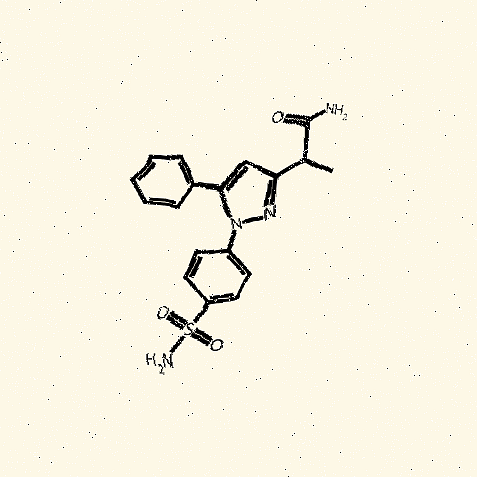 CC(C(N)=O)c1cc(-c2ccccc2)n(-c2ccc(S(N)(=O)=O)cc2)n1